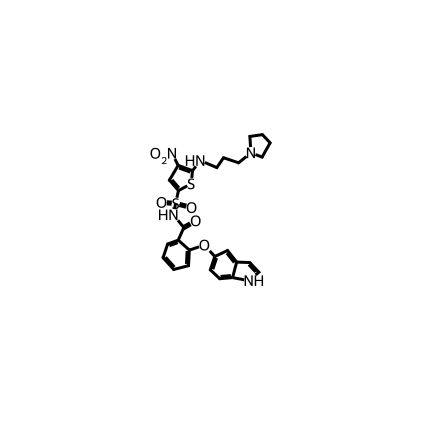 O=C(NS(=O)(=O)c1cc([N+](=O)[O-])c(NCCCN2CCCC2)s1)c1ccccc1Oc1ccc2[nH]ccc2c1